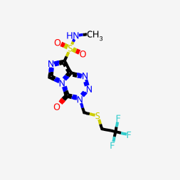 CNS(=O)(=O)c1ncn2c(=O)n(CSCC(F)(F)F)nnc12